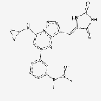 CN(c1cccc(-c2cc(NC3CC3)n3ncc(/C=C4\NC(=O)NC4=O)c3n2)c1)[S+](C)[O-]